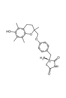 B[C@]1(Cc2ccc(OCC3(C)CCc4c(C)c(O)c(C)c(C)c4O3)cc2)SC(=O)NC1=O